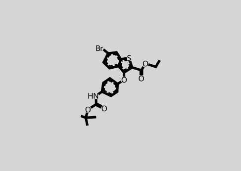 CCOC(=O)c1sc2cc(Br)ccc2c1Oc1ccc(NC(=O)OC(C)(C)C)cc1